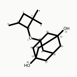 CC1CC(C)(C)C1OC12CC3CC(O)(CC(O)(C3)C1)C2